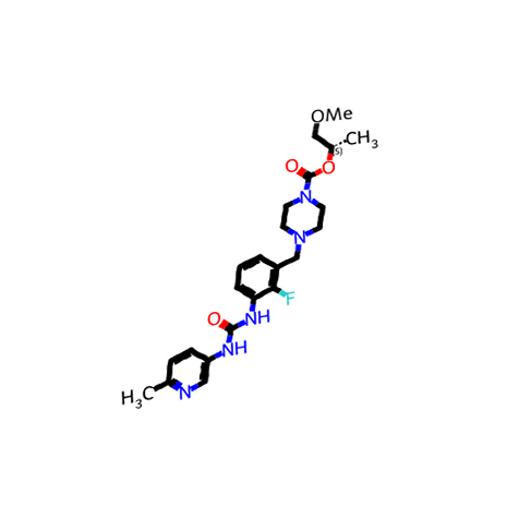 COC[C@H](C)OC(=O)N1CCN(Cc2cccc(NC(=O)Nc3ccc(C)nc3)c2F)CC1